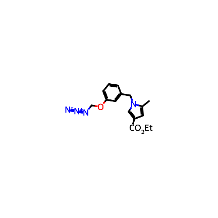 CCOC(=O)c1cc(C)n(Cc2cccc(OCN=[N+]=[N-])c2)c1